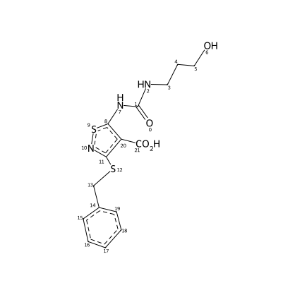 O=C(NCCCO)Nc1snc(SCc2ccccc2)c1C(=O)O